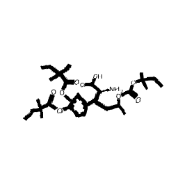 CCC(C)(C)OC(=O)OC(C)CC(c1ccc(OC(=O)C(C)(C)CC)c(OC(=O)C(C)(C)CC)c1)[C@H](N)C(=O)O